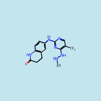 CCNNc1nc(Nc2ccc3c(c2)CCC(=O)N3)ncc1C(F)(F)F